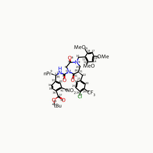 CCC[C@@H](NC(=O)N1CC(=O)N(Cc2c(OC)cc(OC)cc2OC)C[C@@H](Cc2ccc(Cl)c(C(F)(F)F)c2)C1=O)c1ccc(C(=O)OC(C)(C)C)c([N+](=O)[O-])c1